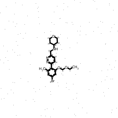 CCOCOc1cc(Br)cc(C)c1-c1ccc(CNC2CCOCC2)nn1